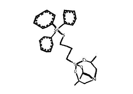 CC1CN2CC(C)O[Si](CCC[S][Sn]([c]3ccccc3)([c]3ccccc3)[c]3ccccc3)(O1)OC(C)C2